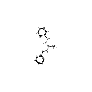 NP(OCc1ccccc1)OCc1ccccc1